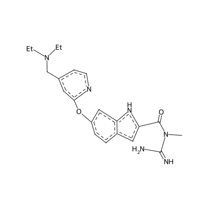 CCN(CC)Cc1ccnc(Oc2ccc3cc(C(=O)N(C)C(=N)N)[nH]c3c2)c1